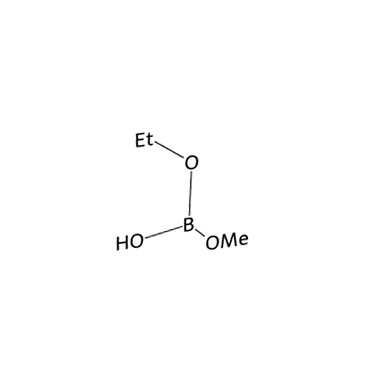 CCOB(O)OC